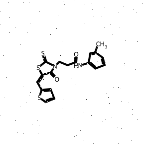 Cc1cccc(NC(=O)CCN2C(=O)/C(=C\c3cccs3)SC2=S)c1